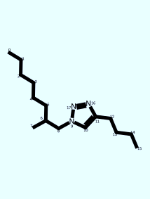 CCCCCCC(C)Cn1cc(CCCC)nn1